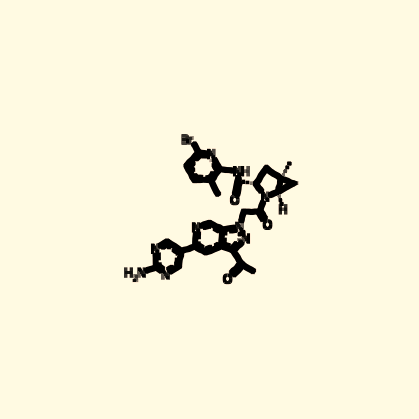 CC(=O)c1nn(CC(=O)N2[C@H](C(=O)Nc3nc(Br)ccc3C)C[C@@]3(C)C[C@@H]23)c2cnc(-c3cnc(N)nc3)cc12